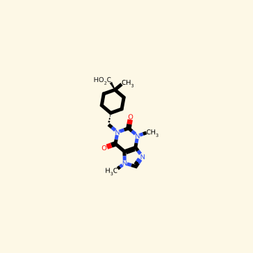 Cn1cnc2c1c(=O)n(C[C@H]1CC[C@](C)(C(=O)O)CC1)c(=O)n2C